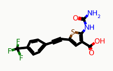 NC(=O)Nc1sc(C#Cc2ccc(C(F)(F)F)cc2)cc1C(=O)O